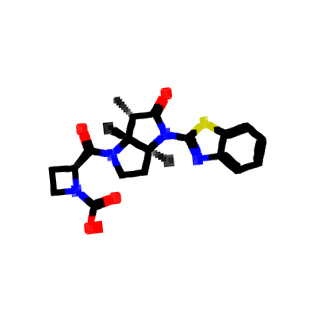 C[C@@H]1C(=O)N(c2nc3ccccc3s2)[C@H]2CCN(C(=O)[C@@H]3CCN3C(=O)O)[C@H]12